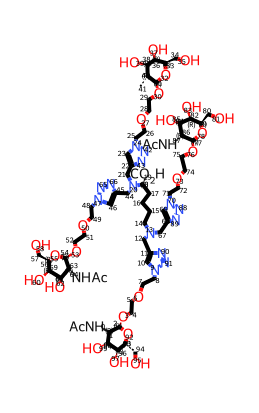 CC(=O)N[C@H]1[C@H](OCCOCCn2cc(CN(CCCC[C@@H](C(=O)O)N(Cc3cn(CCOCCO[C@@H]4O[C@H](CO)[C@H](O)[C@H](O)[C@H]4C)nn3)Cc3cn(CCOCCO[C@@H]4O[C@H](CO)[C@H](O)[C@H](O)[C@H]4NC(C)=O)nn3)Cc3cn(CCOCCO[C@@H]4O[C@H](CO)[C@H](O)[C@H](O)[C@H]4NC(C)=O)nn3)nn2)O[C@H](CO)[C@H](O)[C@@H]1O